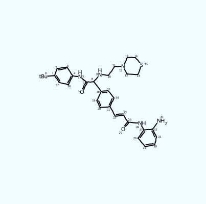 CC(C)(C)c1ccc(NC(=O)C(NCCN2CCSCC2)c2ccc(/C=C/C(=O)Nc3ccccc3N)cc2)cc1